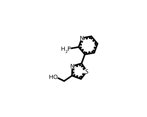 OCc1csc(-c2cccnc2P)n1